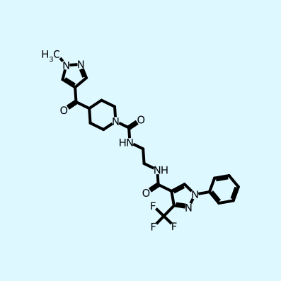 Cn1cc(C(=O)C2CCN(C(=O)NCCNC(=O)c3cn(-c4ccccc4)nc3C(F)(F)F)CC2)cn1